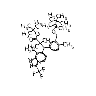 Cc1ccc(C(c2ccn3c(C(F)(F)F)nnc3c2C)C(C)(C)C(=O)OC(C)(C)C)cc1CO[Si](C)(C)C(C)(C)C